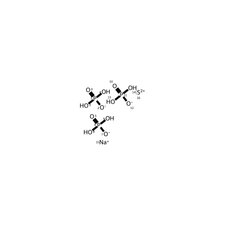 O=P([O-])(O)O.O=P([O-])(O)O.O=P([O-])(O)O.[Na+].[S+2]